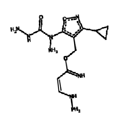 N=C(/C=C\NP)OCc1c(C2CC2)noc1N(N)C(=O)NN